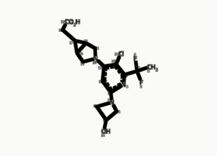 CC(F)(F)c1nc(N2CC(O)C2)cc(N2CC3C(CC(=O)O)C3C2)c1Cl